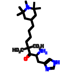 CN1C(C)(C)CC(CCCCC(C(=O)O)(C(=O)O)C(=O)[C@@H](N)Cc2c[nH]cn2)CC1(C)C